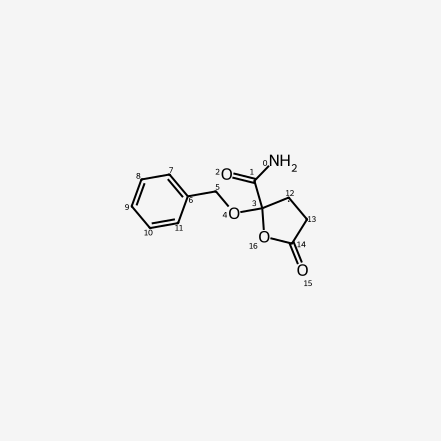 NC(=O)C1(OCc2ccccc2)[CH]CC(=O)O1